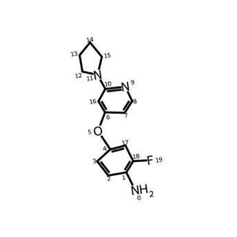 Nc1ccc(Oc2ccnc(N3CCCC3)c2)cc1F